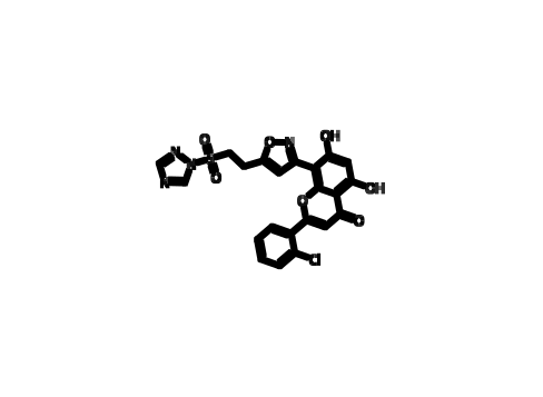 O=c1cc(-c2ccccc2Cl)oc2c(-c3cc(CCS(=O)(=O)n4cncn4)on3)c(O)cc(O)c12